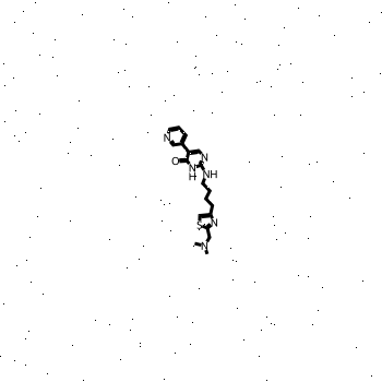 CN(C)Cc1nc(CCCCNc2ncc(-c3cccnc3)c(=O)[nH]2)cs1